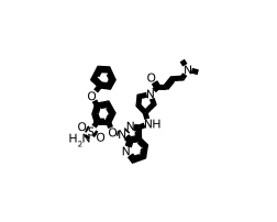 CN(C)CC=CC(=O)N1CCC(Nc2nn(Oc3ccc(Oc4ccccc4)cc3S(N)(=O)=O)c3ncccc23)C1